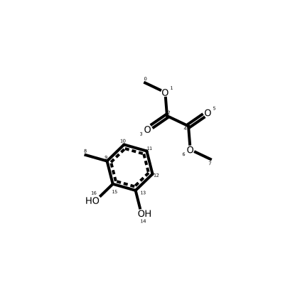 COC(=O)C(=O)OC.Cc1cccc(O)c1O